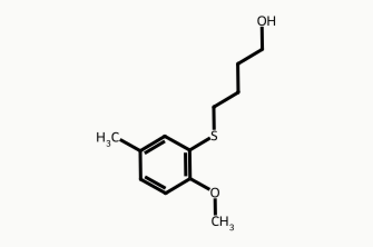 COc1ccc(C)cc1SCCCCO